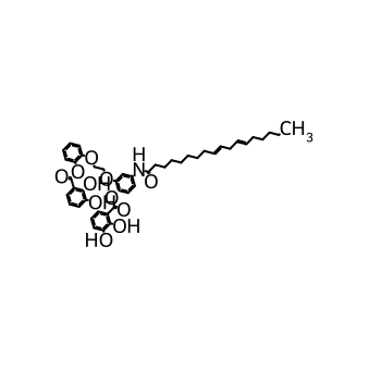 CCCCCC=CCC=CCCCCCCCC(=O)Nc1ccc(OC(=O)c2cccc(O)c2O)c(OCCOc2ccccc2OC(=O)c2cccc(O)c2O)c1